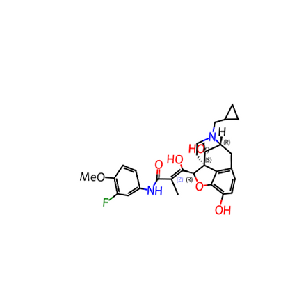 COc1ccc(NC(=O)/C(C)=C(\O)[C@@H]2Oc3c(O)ccc4c3[C@@]23CCN(CC2CC2)[C@H](C4)[C@@]3(C)O)cc1F